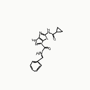 O=C(NCc1ccccc1)c1n[nH]c2nc(NC(=O)C3CC3)sc12